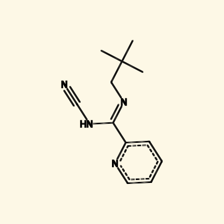 CC(C)(C)C/N=C(\NC#N)c1ccccn1